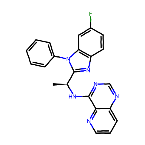 C[C@H](Nc1ncnc2cccnc12)c1nc2ccc(F)cc2n1-c1ccccc1